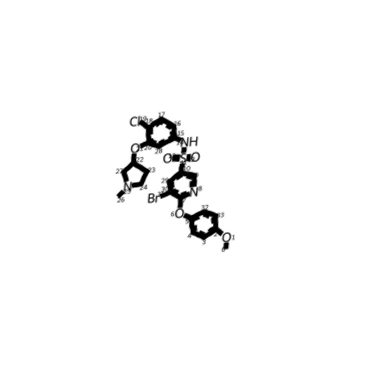 COc1ccc(Oc2ncc(S(=O)(=O)Nc3ccc(Cl)c(OC4CCN(C)C4)c3)cc2Br)cc1